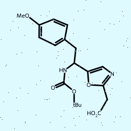 COc1ccc(CC(NC(=O)OC(C)(C)C)c2cnc(CC(=O)O)o2)cc1